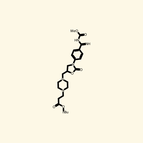 CCCCOC(=O)CCN1CCN(CC2CN(c3ccc(C(=N)NC(=O)OC)cc3)C(=O)O2)CC1